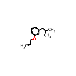 C=CCOc1cccc(CC(C)C)c1